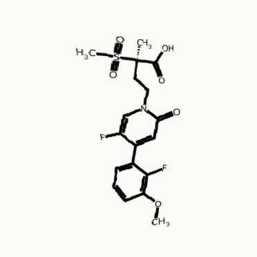 COc1cccc(-c2cc(=O)n(CC[C@](C)(C(=O)O)S(C)(=O)=O)cc2F)c1F